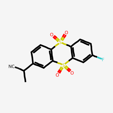 CC(C#N)c1ccc2c(c1)S(=O)(=O)c1cc(F)ccc1S2(=O)=O